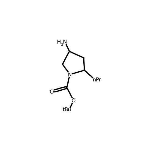 CCCC1CC(N)CN1C(=O)OC(C)(C)C